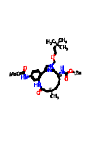 COC(=O)Nc1ccc2c(c1)NC(=O)C[C@@H](C)CCC[C@H](NC(=O)OC(C)(C)C)c1nc-2cn1COCC[Si](C)(C)C